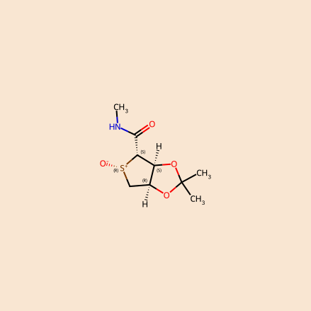 CNC(=O)[C@@H]1[C@H]2OC(C)(C)O[C@H]2C[S@+]1[O-]